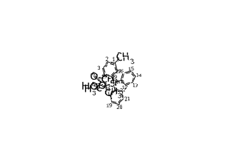 Cc1ccc(S(=O)(=O)O)c([Si](c2ccccc2)(c2ccccc2)C(C)(C)C)c1